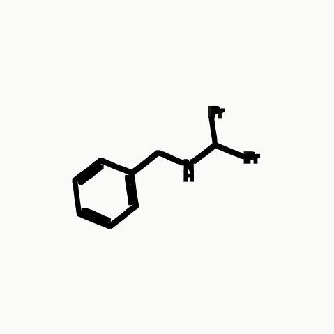 CC(C)C(NCc1ccccc1)C(C)C